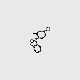 Cc1cc(Cl)ccc1B1OCc2ccccc21